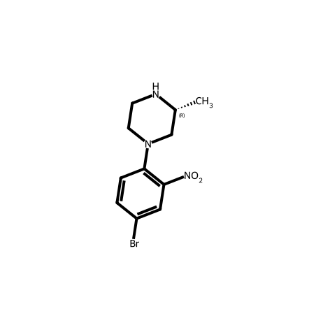 C[C@@H]1CN(c2ccc(Br)cc2[N+](=O)[O-])CCN1